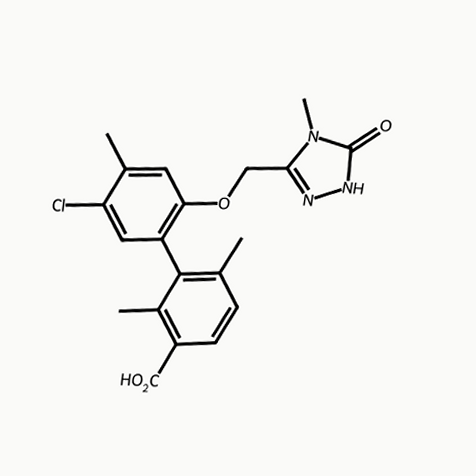 Cc1cc(OCc2n[nH]c(=O)n2C)c(-c2c(C)ccc(C(=O)O)c2C)cc1Cl